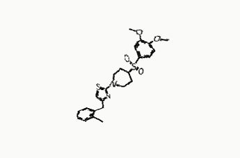 COc1ccc(S(=O)(=O)C2CCN(c3nc(Cc4ccccc4C)cs3)CC2)cc1OC